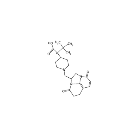 CC(C)(C)N(C(=O)O)C1CCN(CC2Cn3c4c(ccc3=O)CCC(=O)N42)CC1